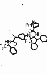 CC(C)n1nccc1C(=O)N[C@H](C(=O)Nc1ccc([C@H](C)C(=O)NC(c2ccccc2)C(F)(F)F)cc1F)C(C1CCCCC1)C1CCCCC1